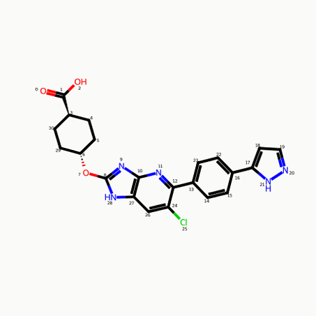 O=C(O)[C@H]1CC[C@H](Oc2nc3nc(-c4ccc(-c5ccn[nH]5)cc4)c(Cl)cc3[nH]2)CC1